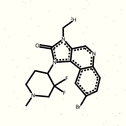 [2H]Cn1c(=O)n(C2CCN(C)CC2(F)F)c2c3cc(Br)ccc3ncc21